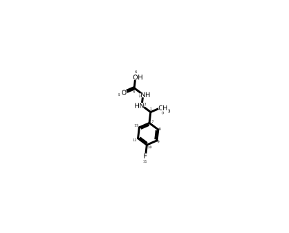 CC(NNC(=O)O)c1ccc(F)cc1